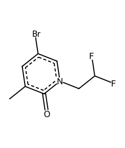 Cc1cc(Br)cn(CC(F)F)c1=O